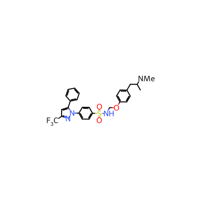 CNC(C)Cc1ccc(OCNS(=O)(=O)c2ccc(-n3nc(C(F)(F)F)cc3-c3ccccc3)cc2)cc1